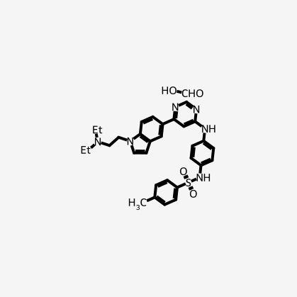 CCN(CC)CCn1ccc2cc(-c3cc(Nc4ccc(NS(=O)(=O)c5ccc(C)cc5)cc4)ncn3)ccc21.O=CO